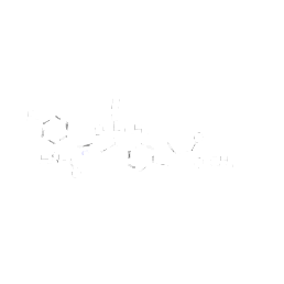 COC(=O)C1=Cc2cc(C3=C/C(=C4\C(=O)Nc5cc(F)ccc54)OC3(C)C)ccc2C1